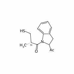 CC(=O)C1Cc2ccccc2N1C(=O)[C@H](C)CS